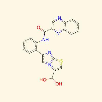 O=C(Nc1ccccc1-c1cn2c(C(O)O)csc2n1)c1cnc2ccccc2n1